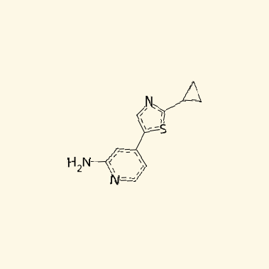 Nc1cc(-c2cnc(C3CC3)s2)ccn1